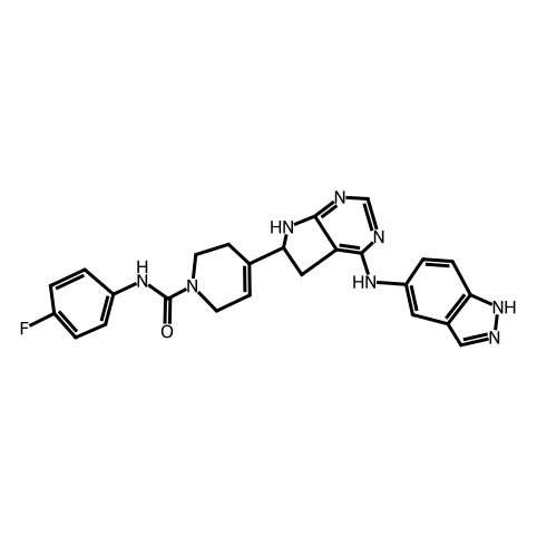 O=C(Nc1ccc(F)cc1)N1CC=C(C2Cc3c(Nc4ccc5[nH]ncc5c4)ncnc3N2)CC1